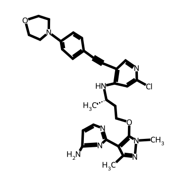 Cc1nn(C)c(OCC[C@H](C)Nc2cc(Cl)ncc2C#Cc2ccc(N3CCOCC3)cc2)c1-c1nccc(N)n1